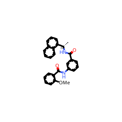 COc1ccccc1C(=O)Nc1cccc(C(=O)N[C@@H](C)c2cccc3ccccc23)c1